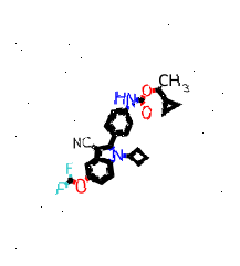 C[C@@H](OC(=O)Nc1ccc(-c2c(C#N)c3cc(OC(F)F)ccc3n2C2CCC2)cc1)C1CC1